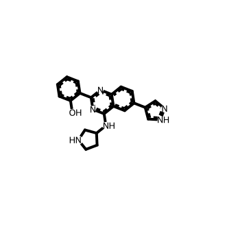 Oc1ccccc1-c1nc(NC2CCNC2)c2cc(-c3cn[nH]c3)ccc2n1